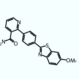 COc1ccc2nc(-c3ccc(-c4ncccc4C(N)=O)cc3)sc2c1